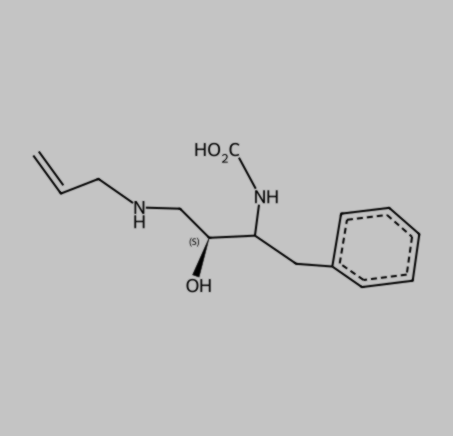 C=CCNC[C@H](O)C(Cc1ccccc1)NC(=O)O